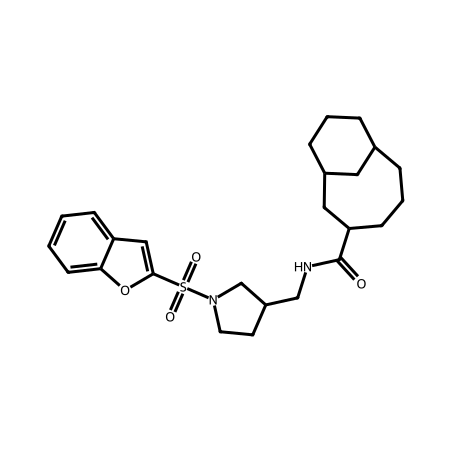 O=C(NCC1CCN(S(=O)(=O)c2cc3ccccc3o2)C1)C1CCCC2CCCC(C2)C1